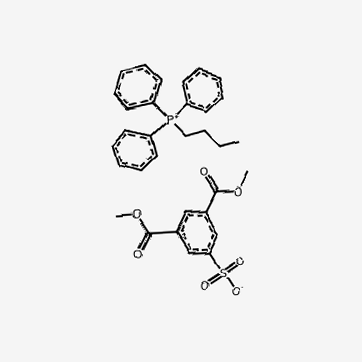 CCCC[P+](c1ccccc1)(c1ccccc1)c1ccccc1.COC(=O)c1cc(C(=O)OC)cc(S(=O)(=O)[O-])c1